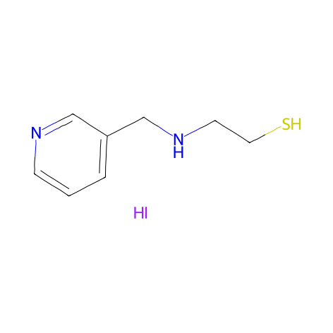 I.SCCNCc1cccnc1